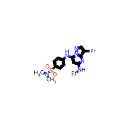 CCNc1cc(Nc2ccc(S(=O)(=O)N(C)C)cc2)n2ncc(C(C)C)c2n1